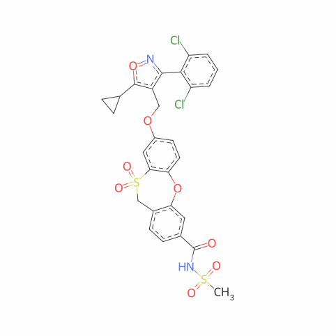 CS(=O)(=O)NC(=O)c1ccc2c(c1)Oc1ccc(OCc3c(-c4c(Cl)cccc4Cl)noc3C3CC3)cc1S(=O)(=O)C2